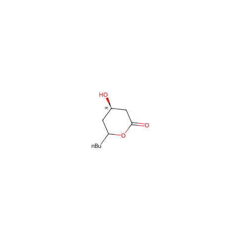 CCCCC1C[C@@H](O)CC(=O)O1